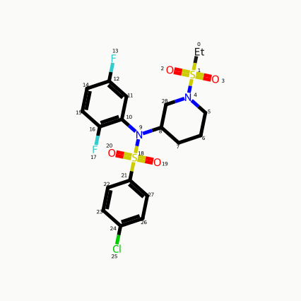 CCS(=O)(=O)N1CCCC(N(c2cc(F)ccc2F)S(=O)(=O)c2ccc(Cl)cc2)C1